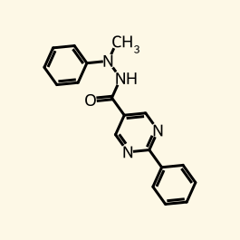 CN(NC(=O)c1cnc(-c2ccccc2)nc1)c1ccccc1